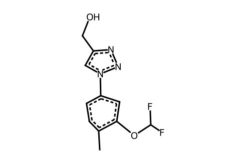 Cc1ccc(-n2cc(CO)nn2)cc1OC(F)F